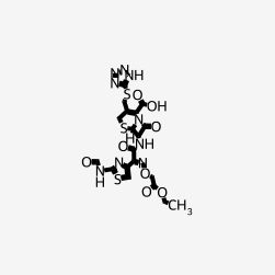 CCOC(=O)CON=C(C(=O)NC1C(=O)N2C(C(=O)O)=C(CSc3nnn[nH]3)CS[C@@H]12)c1csc(NC=O)n1